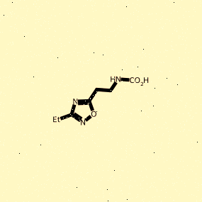 CCc1noc(CCNC(=O)O)n1